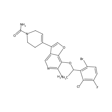 CC(Oc1c(N)ncc2c(C3=CCN(C(N)=O)CC3)coc12)c1c(Br)ccc(F)c1Cl